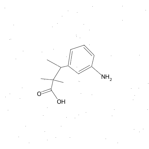 CC(c1cccc(N)c1)C(C)(C)C(=O)O